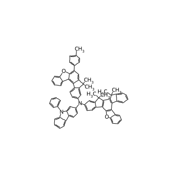 Cc1ccc(-c2cc3c(c4c2oc2ccccc24)-c2ccc(N(c4ccc5c(c4)C(C)(C)c4c6c(c7c(oc8ccccc87)c4-5)-c4ccccc4C6(C)C)c4ccc5c6ccccc6n(-c6ccccc6)c5c4)cc2C3(C)C)cc1